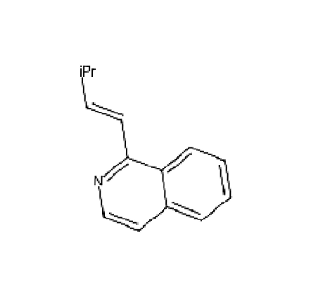 [CH2]C(C)C=Cc1nccc2ccccc12